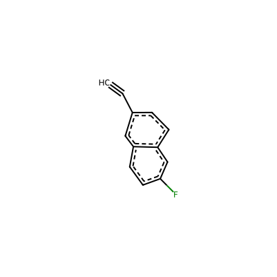 C#Cc1ccc2cc(F)ccc2c1